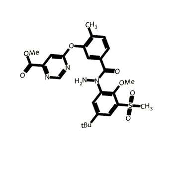 COC(=O)c1cc(Oc2cc(C(=O)N(N)c3cc(C(C)(C)C)cc(S(C)(=O)=O)c3OC)ccc2C)ncn1